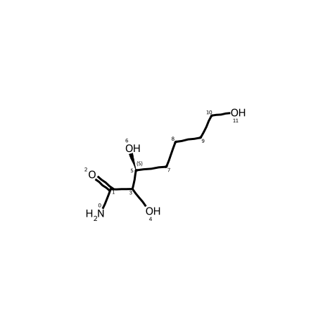 NC(=O)C(O)[C@@H](O)CCCCO